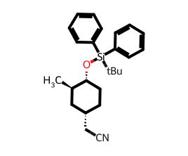 C[C@@H]1C[C@@H](CC#N)CC[C@H]1O[Si](c1ccccc1)(c1ccccc1)C(C)(C)C